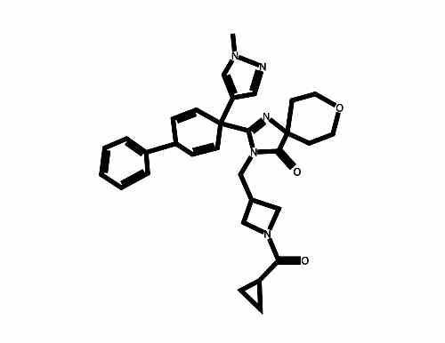 Cn1cc(C2(C3=NC4(CCOCC4)C(=O)N3CC3CN(C(=O)C4CC4)C3)C=CC(c3ccccc3)C=C2)cn1